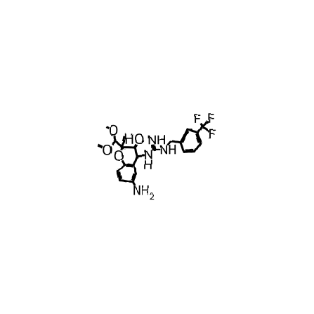 COC(OC)C1(C)Oc2ccc(N)cc2C(NC(=N)NCc2cccc(C(F)(F)F)c2)C1O